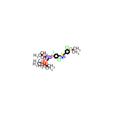 CC(C)Oc1ccc(-c2nnc(-c3cc(F)c(OC[C@@H](COP(=O)(OC(C)(C)C)OC(C)(C)C)NC(=O)OC(C)(C)C)cc3Cl)s2)cc1Cl